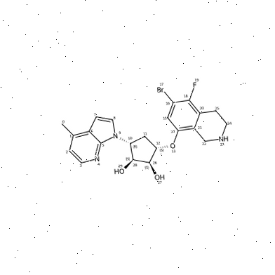 Cc1ccnc2c1ccn2[C@@H]1C[C@H](Oc2cc(Br)c(F)c3c2CNCC3)[C@@H](O)[C@H]1O